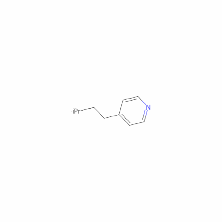 C[C](C)CCc1ccncc1